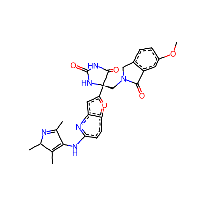 COc1ccc2c(c1)C(=O)N(C[C@@]1(c3cc4nc(NC5=C(C)C(C)N=C5C)ccc4o3)NC(=O)NC1=O)C2